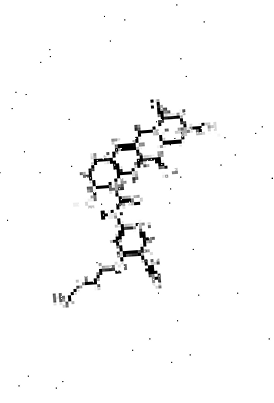 COCCOc1cc(NC(=O)N2c3nc(C=O)c(CN4CCN(C)CC4=O)cc3CC[C@@H]2C)ncc1C#N